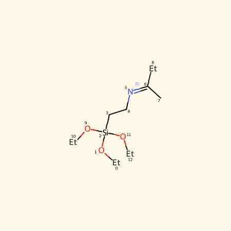 CCO[Si](CC/N=C(\C)CC)(OCC)OCC